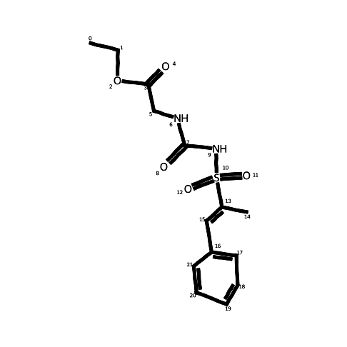 CCOC(=O)CNC(=O)NS(=O)(=O)/C(C)=C/c1ccccc1